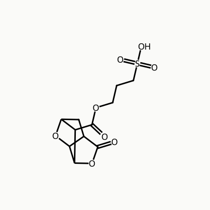 O=C1OC2C3OC(CC13)C2C(=O)OCCCS(=O)(=O)O